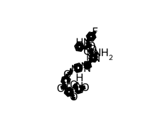 COc1ccc(C(=O)N2CCC(OCCN3CCC(n4cc(-c5cnc(N)c(C(=O)O[C@@H](C(=O)Nc6ccc(F)cc6)c6ccccc6)n5)cn4)CC3)CC2)cc1N1CCC(=O)NC1=O